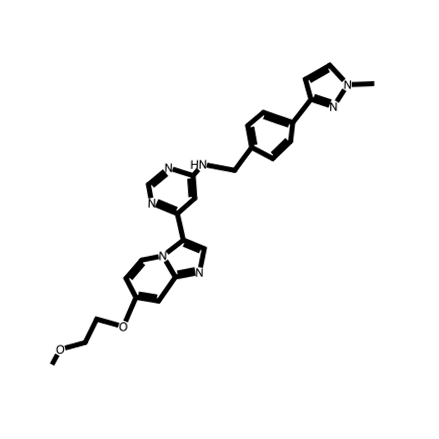 COCCOc1ccn2c(-c3cc(NCc4ccc(-c5ccn(C)n5)cc4)ncn3)cnc2c1